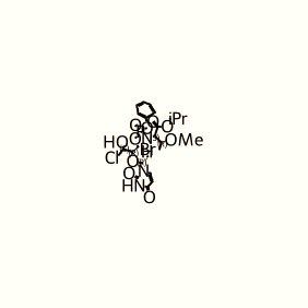 CO[C@H](C)[C@H](NP(=O)(OC[C@@H](O[C@H](CBr)n1ccc(=O)[nH]c1=O)[C@@H](O)Cl)Oc1ccccc1)C(=O)OC(C)C